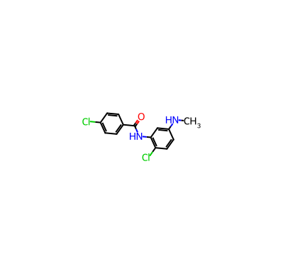 CNc1ccc(Cl)c(NC(=O)c2ccc(Cl)cc2)c1